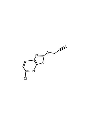 N#CCSc1nc2ccc(Cl)nc2s1